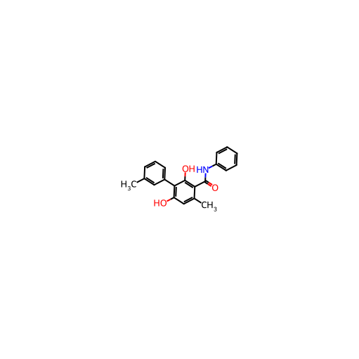 Cc1cccc(-c2c(O)cc(C)c(C(=O)Nc3ccccc3)c2O)c1